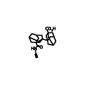 C#CNC(=O)C12CC3CC(C1)CC(C14CC5CC(CC(C(=O)O)(C5)C1)C4)(C3)C2